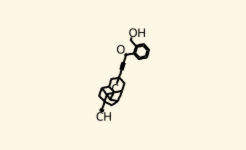 C#CC12CC3C4CC5(C#CC(=O)c6ccccc6CO)CC3C(C1)C(C5)C4C2